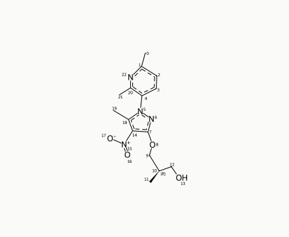 Cc1ccc(-n2nc(OC[C@H](C)CO)c([N+](=O)[O-])c2C)c(C)n1